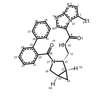 CCc1csc2ncc(C(=O)NC[C@@H]3[C@H]4C[C@H]4CN3C(=O)c3ccccc3-c3ccccc3)n12